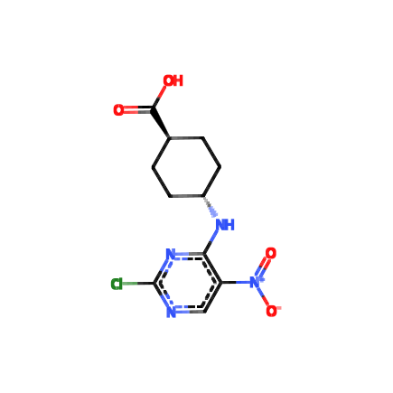 O=C(O)[C@H]1CC[C@H](Nc2nc(Cl)ncc2[N+](=O)[O-])CC1